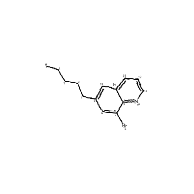 CCCCCc1cc(Br)c2ncccc2c1